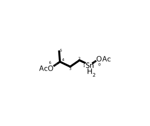 CC(=O)[O][SnH2][CH2]CC(C)OC(C)=O